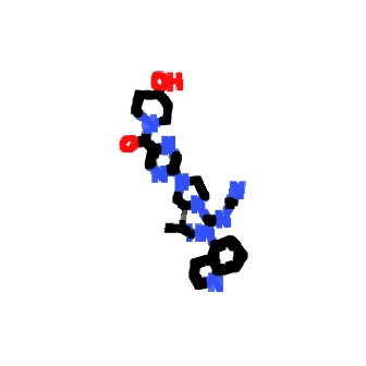 CC(C)[C@@H]1CN(c2cnc(C(=O)N3CCC(O)CC3)cn2)CCN1/C(=N\C#N)Nc1cccc2ncccc12